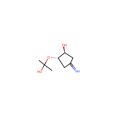 CC(C)(O)O[C@H]1CC(=N)C[C@@H]1O